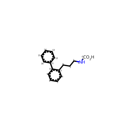 O=C(O)NCCCc1ccccc1-c1ccccc1